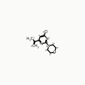 C=C(C)c1cc(Cl)nc(N2CCOCC2)n1